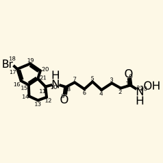 O=C(CCCCCCC(=O)NC1CCCc2cc(Br)ccc21)NO